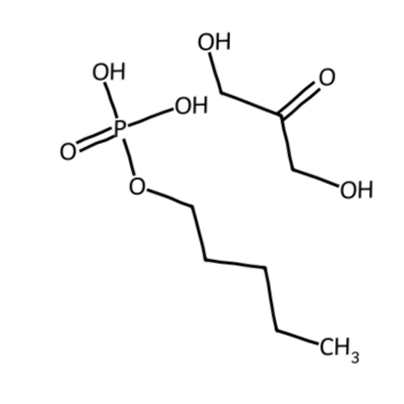 CCCCCOP(=O)(O)O.O=C(CO)CO